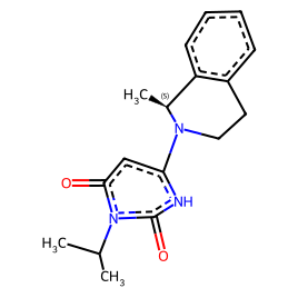 CC(C)n1c(=O)cc(N2CCc3ccccc3[C@@H]2C)[nH]c1=O